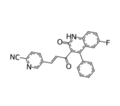 N#Cc1ccc(/C=C/C(=O)c2c(-c3ccccc3)c3cc(F)ccc3[nH]c2=O)cn1